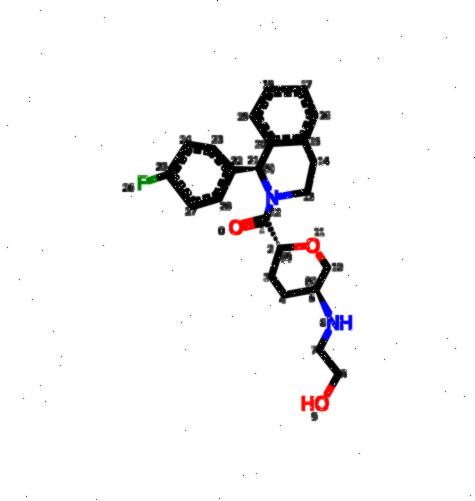 O=C([C@H]1CC[C@H](NCCO)CO1)N1CCc2ccccc2[C@@H]1c1ccc(F)cc1